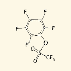 O=S(=O)(Oc1c(F)c(F)c(F)c(F)c1F)C(F)(F)F